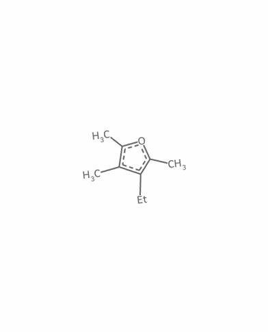 CCc1c(C)oc(C)c1C